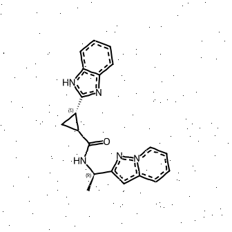 C[C@@H](NC(=O)C1C[C@@H]1c1nc2ccccc2[nH]1)c1cc2ccccn2n1